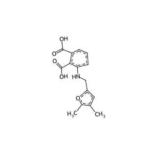 Cc1cc(CNc2cccc(C(=O)O)c2C(=O)O)oc1C